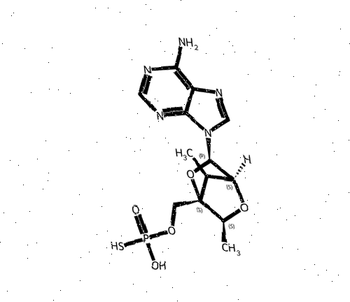 CC1[C@@H]2O[C@@H](C)[C@]1(COP(=O)(O)S)O[C@H]2n1cnc2c(N)ncnc21